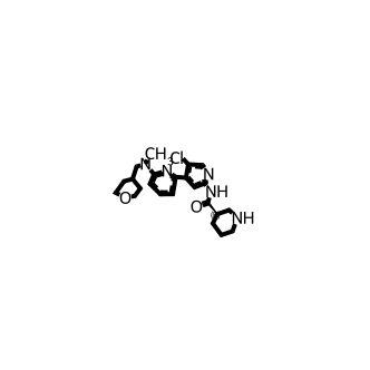 CN(CC1CCOCC1)c1cccc(-c2cc(NC(=O)[C@@H]3CCCNC3)ncc2Cl)n1